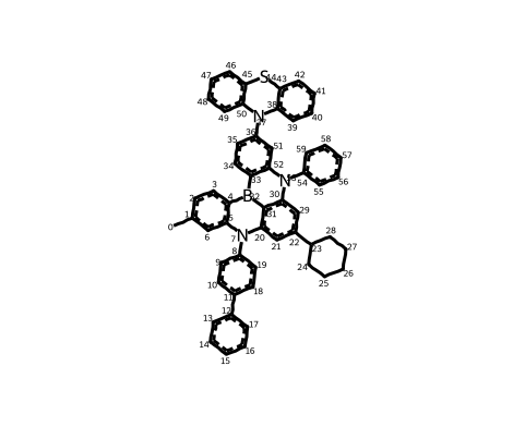 Cc1ccc2c(c1)N(c1ccc(-c3ccccc3)cc1)c1cc(C3CCCCC3)cc3c1B2c1ccc(N2c4ccccc4Sc4ccccc42)cc1N3c1ccccc1